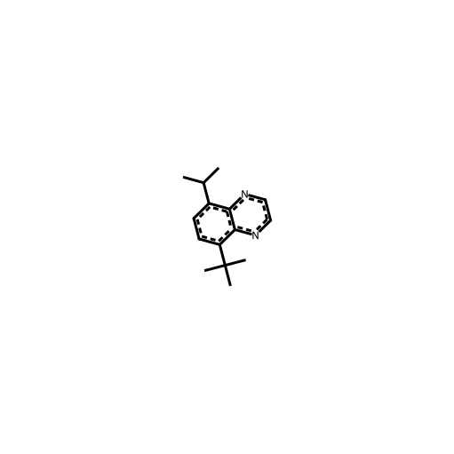 CC(C)c1ccc(C(C)(C)C)c2nccnc12